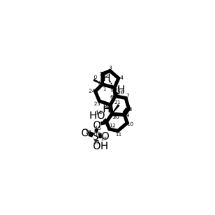 C[C@@]12CCC[C@H]1[C@@H]1CC=C3CCCC(O)(OS(=O)(=O)O)[C@]3(C)[C@H]1CC2